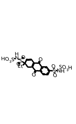 CCC1(S(=O)(=O)NS(=O)(=O)O)C=CC2=C(C1)C(=O)c1ccc(S(=O)(=O)NS(=O)(=O)O)cc1C2=O